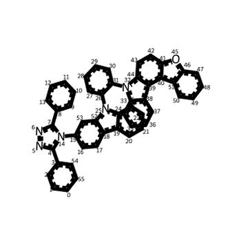 c1ccc(-c2nnc(-c3ccccc3)n2-c2ccc3c4ccccc4n(-c4ccccc4-n4c5ccccc5c5c6c(ccc54)oc4ccccc46)c3c2)cc1